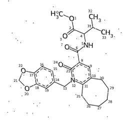 COC(=O)C(NC(=O)c1cc2c(n(Cc3ccc4c(c3)OCO4)c1=O)CCCCCC2)C(C)C